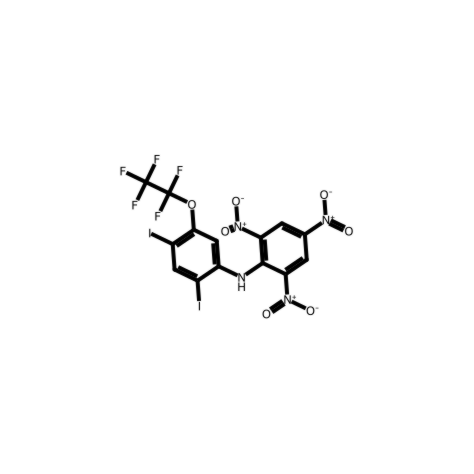 O=[N+]([O-])c1cc([N+](=O)[O-])c(Nc2cc(OC(F)(F)C(F)(F)F)c(I)cc2I)c([N+](=O)[O-])c1